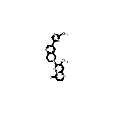 Cc1ncc(-c2cnc3c(c2)CN(c2nn4c(=O)ccnc4cc2C)CC3)s1